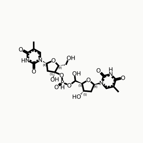 Cc1cn([C@H]2C[C@H](O)[C@@H](C(O)O[PH](=O)O[C@@]3(O)C[C@H](n4cc(C)c(=O)[nH]c4=O)O[C@@H]3CO)O2)c(=O)[nH]c1=O